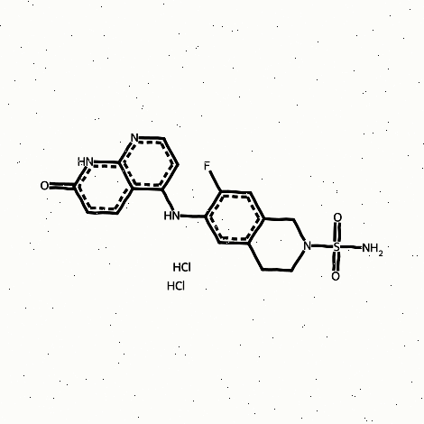 Cl.Cl.NS(=O)(=O)N1CCc2cc(Nc3ccnc4[nH]c(=O)ccc34)c(F)cc2C1